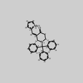 O=C1CCN(C(c2ccccc2)(c2ccccc2)c2ccccc2)C/C1=C/c1ccc[nH]1